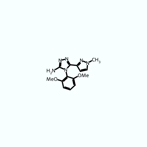 COc1cccc(OC)c1-n1c(N)nnc1-c1ccn(C)n1